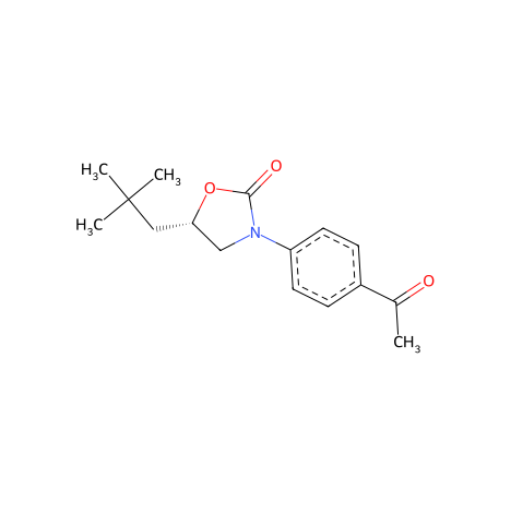 CC(=O)c1ccc(N2C[C@H](CC(C)(C)C)OC2=O)cc1